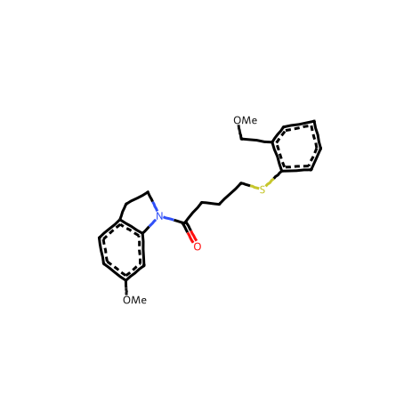 COCc1ccccc1SCCCC(=O)N1CCc2ccc(OC)cc21